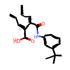 C=C/C=C(C(=O)O)\C(=C/C=C)C(=O)Nc1cccc(C(C)(C)C)c1